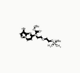 CC(C)(C)OC(=O)N(CCOCCO[Si](C)(C)C(C)(C)C)c1ccn2ncc(Br)c2n1